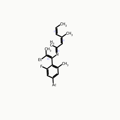 C\C=C/C(C)=C\C(C)=N\C(=C(/C)CC)c1c(C)cc(C(C)=O)cc1F